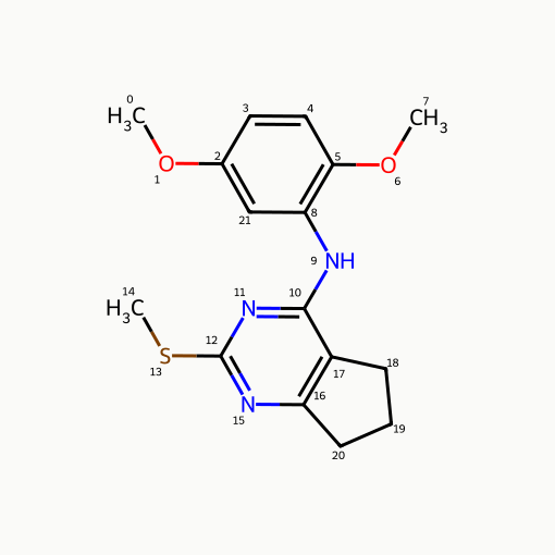 COc1ccc(OC)c(Nc2nc(SC)nc3c2CCC3)c1